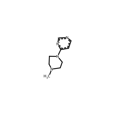 CN1CCN(c2ccn[c]n2)CC1